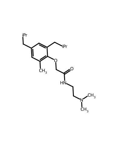 Cc1cc(CC(C)C)cc(CC(C)C)c1OCC(=O)NCCN(C)C